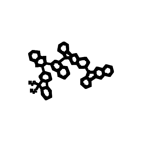 CC1(C)c2ccccc2-c2ccc(-c3nc4ccccc4nc3-c3cc(-n4c5ccccc5c5cc6ccc(-n7c8ccccc8c8cc9ccccc9cc87)cc6cc54)c4ccccc4c3)cc21